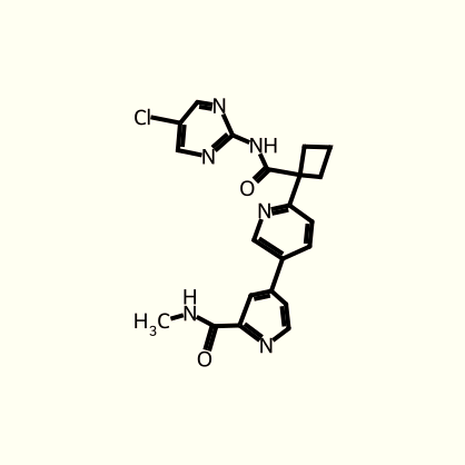 CNC(=O)c1cc(-c2ccc(C3(C(=O)Nc4ncc(Cl)cn4)CCC3)nc2)ccn1